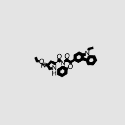 CCO/N=C1/CN[C@H](C(=O)NC(=O)C(Oc2ccccc2)c2ccc3c(c2)c2ccccc2n3CC)C1